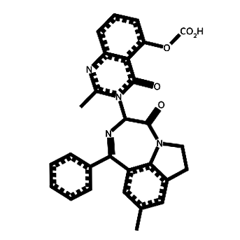 Cc1cc2c3c(c1)C(c1ccccc1)=NC(n1c(C)nc4cccc(OC(=O)O)c4c1=O)C(=O)N3CC2